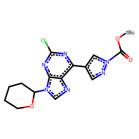 CC(C)(C)OC(=O)n1cc(-c2nc(Cl)nc3c2ncn3C2CCCCO2)cn1